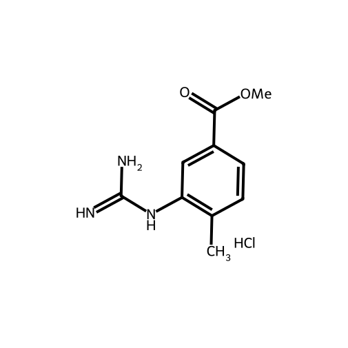 COC(=O)c1ccc(C)c(NC(=N)N)c1.Cl